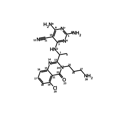 CC(Nc1nc(N)nc(N)c1C#N)c1nc2cccc(Cl)c2c(=O)n1CCCN